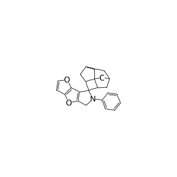 c1ccc(N2Cc3oc4ccoc4c3C23C2CC4CC5CC3C2(C4)C5)cc1